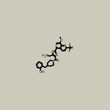 COc1ccc(-c2nc(C(=O)N3CCC(Cc4ccccc4O)CC3)c(CN)o2)c2ccc(C(F)(F)F)nc12